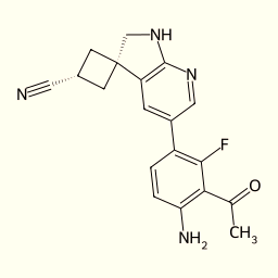 CC(=O)c1c(N)ccc(-c2cnc3c(c2)[C@]2(CN3)C[C@@H](C#N)C2)c1F